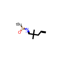 C=CCC(C)(C)/C=N/[S+]([O-])C(C)(C)C